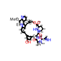 CCn1c(-c2cccnc2[C@H](C)OC)c2c3cc(ccc31)-c1cc(O)cc(c1)C[C@H](NC(=O)C(C(C)C)N(C)C(=O)[C@@H]1CN1)C(=O)N1CCC[C@H](N1)C(=O)OCC(C)(C)C2